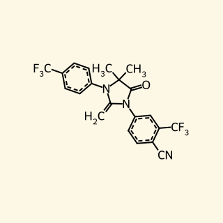 C=C1N(c2ccc(C#N)c(C(F)(F)F)c2)C(=O)C(C)(C)N1c1ccc(C(F)(F)F)cc1